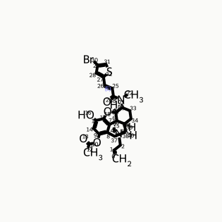 C=CCN1CC[C@]23c4c5c(OC(C)=O)cc(O)c4O[C@H]2[C@@H](N(C)C(=O)/C=C/c2cc(Br)cs2)CC[C@H]3[C@H]1C5